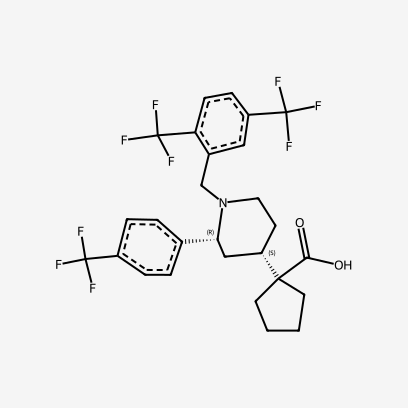 O=C(O)C1([C@H]2CCN(Cc3cc(C(F)(F)F)ccc3C(F)(F)F)[C@@H](c3ccc(C(F)(F)F)cc3)C2)CCCC1